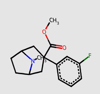 COC(=O)C1(c2cccc(F)c2)CC2CCC(C1)N2C